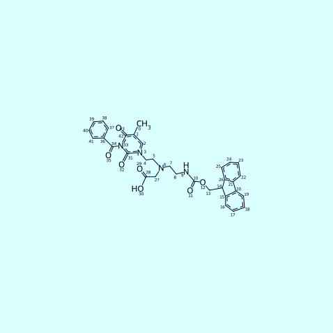 Cc1cn(CCN(CCNC(=O)OCC2c3ccccc3-c3ccccc32)CC(=O)O)c(=O)n(C(=O)c2ccccc2)c1=O